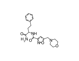 NC(=O)C(CCc1ccccc1)NC(=O)c1cc(CN2CCOCC2)on1